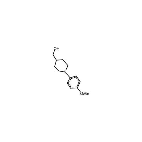 COc1ccc(N2CCC(CO)CC2)cc1